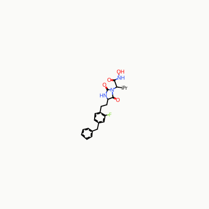 CC(C)C(C(=O)NO)N1C(=O)NC(CCc2ccc(Cc3ccccc3)cc2F)C1=O